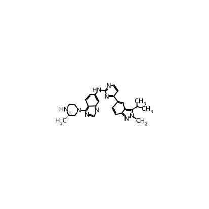 CC(C)c1c2cc(-c3ccnc(Nc4ccc5c(N6CCN[C@@H](C)C6)ncnc5c4)n3)ccc2nn1C